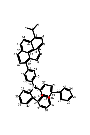 CC(C)c1ccc2ccc3c(-c4ccc(N(c5ccc(-c6ccccc6)cc5)c5ccccc5-c5ccccc5)cc4)ccc4ccc1c2c43